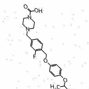 CC(C)Oc1ccc(OCc2ccc(CN3CCN(C(=O)O)CC3)cc2F)cc1